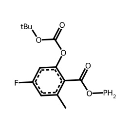 Cc1cc(F)cc(OC(=O)OC(C)(C)C)c1C(=O)OP